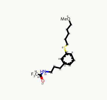 COCCCCCSc1cccc(CCCNC(=O)C(F)(F)F)c1